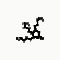 NCCCc1ccnc(CCCN)c1CCCN.[Ru]